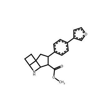 COC(=O)C1C(c2ccc(-c3ccoc3)cc2)CC23CCC2NC13